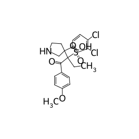 CCC(C(=O)c1ccc(OC)cc1)(C1(c2ccc(Cl)c(Cl)c2)CCNC1)S(=O)(=O)O